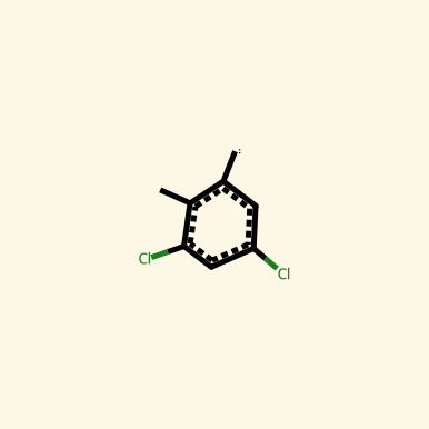 [CH]c1cc(Cl)cc(Cl)c1C